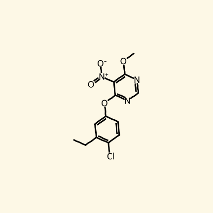 CCc1cc(Oc2ncnc(OC)c2[N+](=O)[O-])ccc1Cl